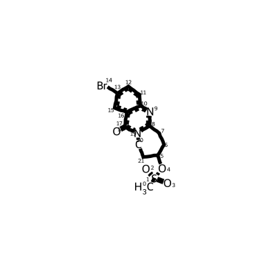 CS(=O)(=O)OC1CCc2nc3ccc(Br)cc3c(=O)n2CC1